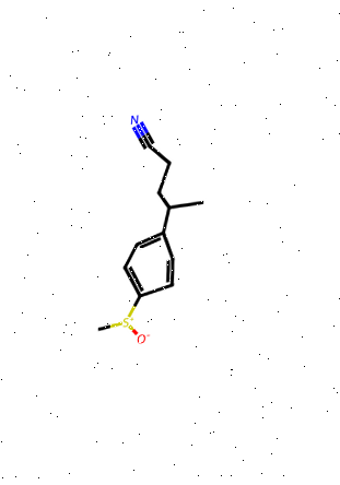 CC(CCC#N)c1ccc([S+](C)[O-])cc1